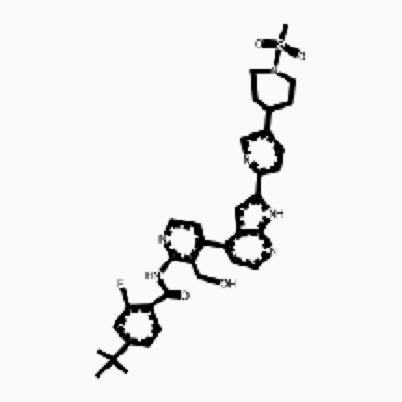 CC(C)(C)c1ccc(C(=O)Nc2nccc(-c3ccnc4[nH]c(-c5ccc(C6CCN(S(C)(=O)=O)CC6)cn5)cc34)c2CO)c(F)c1